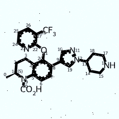 C[C@H]1CCc2c(ccc(-c3cnn(C4CCNCC4)c3)c2Oc2ncccc2C(F)(F)F)N1C(=O)O